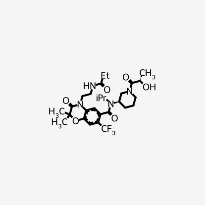 CCC(=O)NCCN1C(=O)C(C)(C)Oc2cc(C(F)(F)F)c(C(=O)N(C(C)C)[C@@H]3CCCN(C(=O)[C@H](C)O)C3)cc21